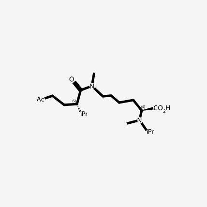 CC(=O)CC[C@H](C(=O)N(C)CCCC[C@@H](C(=O)O)N(C)C(C)C)C(C)C